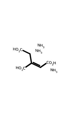 N.N.N.O=C(O)C=C(CC(=O)O)C(=O)O